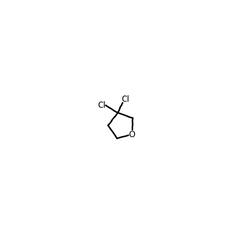 ClC1(Cl)CCOC1